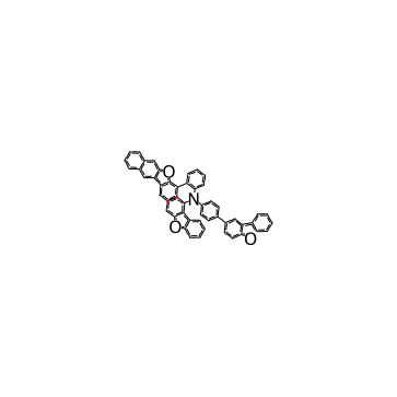 c1ccc(N(c2ccc(-c3ccc4oc5ccccc5c4c3)cc2)c2cccc3oc4ccccc4c23)c(-c2cccc3c2oc2cc4ccccc4cc23)c1